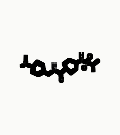 CC(C)S(=O)(=O)NC1CCC(C(=O)NCc2ccc(N(C)C)cc2)CC1